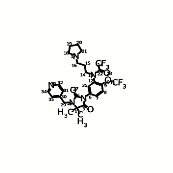 CC1(C)C(=O)N(c2ccc(OC(F)(F)F)c(N(CCCN3CCCC3)C(=O)C(F)(F)F)c2)C(=O)N1Cc1ccncc1